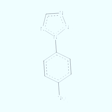 O=[N+]([O-])c1ccc(-n2ncnn2)cc1